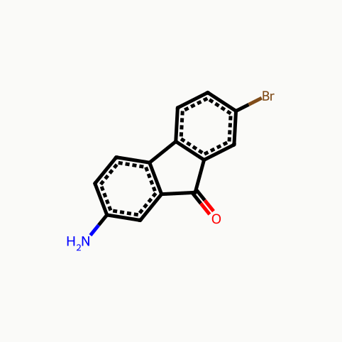 Nc1ccc2c(c1)C(=O)c1cc(Br)ccc1-2